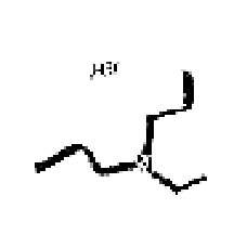 Br.C=CCN(CC)CC=C